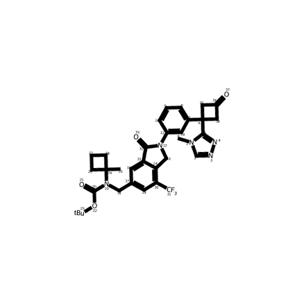 Cn1cnnc1C1(c2cccc(N3Cc4c(cc(CN(C(=O)OC(C)(C)C)C5(C)CCC5)cc4C(F)(F)F)C3=O)c2)CC(=O)C1